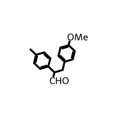 COc1ccc(CC(C=O)c2ccc(C)cc2)cc1